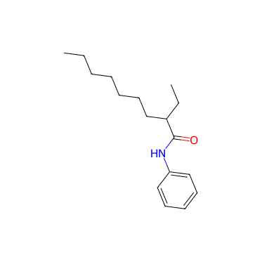 CCCCCCCC(CC)C(=O)Nc1ccccc1